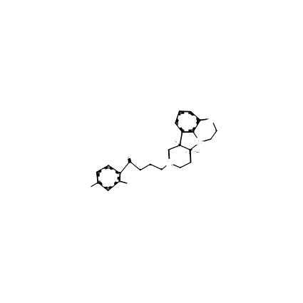 O=C(CCCN1CC[C@@H]2[C@H](C1)c1cccc3c1N2CCO3)c1ccc(F)cc1O